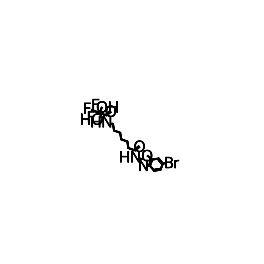 O=C(CCCCCCNC(=O)C(O)(O)C(F)(F)F)Nc1nc2ccc(Br)cc2o1